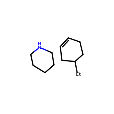 C1CCNCC1.CCC1CC=CCC1